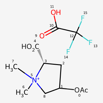 CC(=O)OC1C[C@@H](C(=O)O)[N+](C)(C)C1.O=C(O)C(F)(F)F